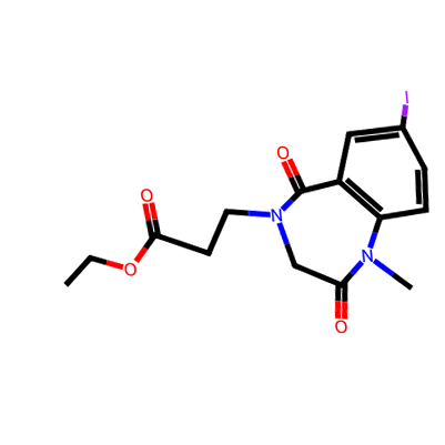 CCOC(=O)CCN1CC(=O)N(C)c2ccc(I)cc2C1=O